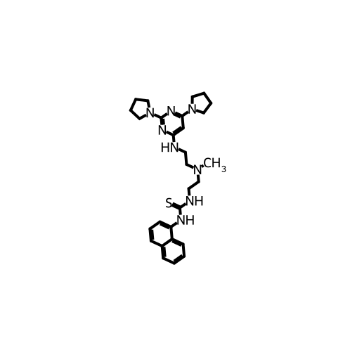 CN(CCNC(=S)Nc1cccc2ccccc12)CCNc1cc(N2CCCC2)nc(N2CCCC2)n1